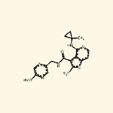 COc1cnc(CNC(=O)c2c(C)oc3ncnc(NC4(C)CC4)c23)cn1